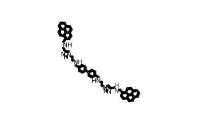 c1cc2ccc3ccc(CNCc4cn(CCNCc5ccc(-c6ccc(CNCCn7cc(CNCc8ccc9ccc%10cccc%11ccc8c9c%10%11)nn7)cc6)cc5)nn4)c4ccc(c1)c2c34